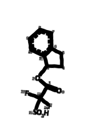 O=C(OC1CCc2ccccc21)C(F)(F)S(=O)(=O)O